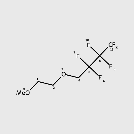 COCCOCC(F)(F)C(F)(F)C(F)(F)F